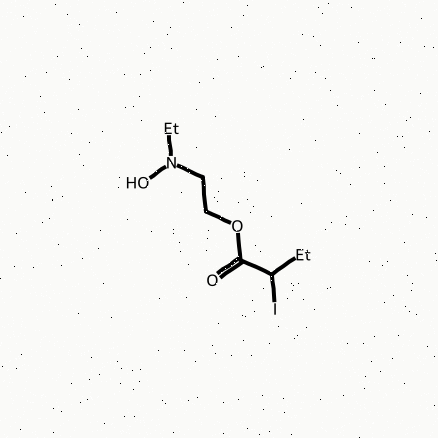 CCC(I)C(=O)OCCN(O)CC